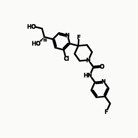 O=C(Nc1ccc(CF)cn1)N1CCC(F)(c2ncc([C@H](O)CO)cc2Cl)CC1